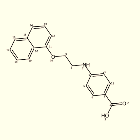 O=C(O)c1ccc(NCCOc2cccc3ccccc23)cc1